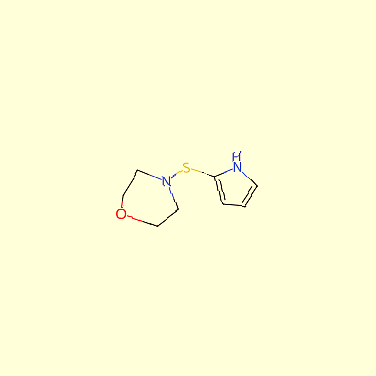 c1c[nH]c(SN2CCOCC2)c1